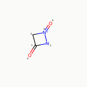 O=C1[CH][N+](=O)[N]1